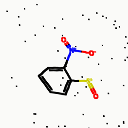 O=[S+]c1ccccc1[N+](=O)[O-]